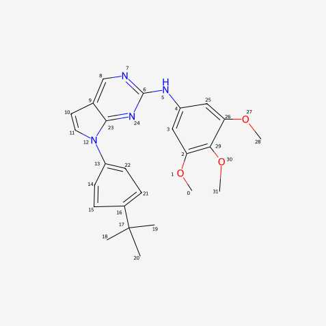 COc1cc(Nc2ncc3ccn(-c4ccc(C(C)(C)C)cc4)c3n2)cc(OC)c1OC